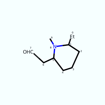 CCC1CCCC(CC=O)N1C